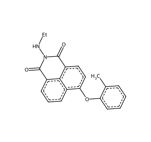 CCNN1C(=O)c2cccc3c(Oc4ccccc4C)ccc(c23)C1=O